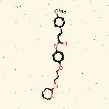 COc1ccc(/C=C/C(=O)Oc2ccc(OCCCOC3CCCCO3)cc2)cc1